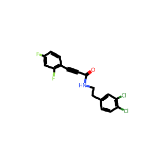 O=C(C#Cc1ccc(F)cc1F)NCCc1ccc(Cl)c(Cl)c1